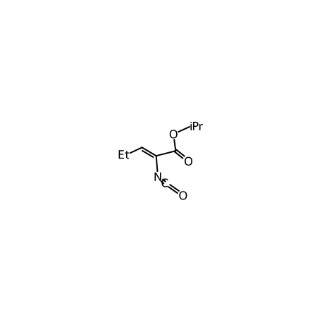 CCC=C(N=C=O)C(=O)OC(C)C